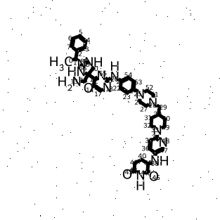 CC(c1ccccc1)N1NCC(C(N)=O)(c2ccnc(Nc3ccc(N4CCN(CC5CCN(c6ccc(NC7CCC(=O)NC7=O)cn6)CC5)CC4)cc3)n2)N1